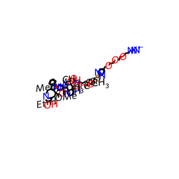 CC[C@]1(O)C[C@@H]2C[N@@](CCc3c([nH]c4ccccc34)[C@@](C(=O)OC)(c3cc4c(cc3OC)N(C)[C@H]3[C@@](O)(C(=O)NCCC[Si]5(C)C[Si](C)(CSc6ncc(COCCOCCOCCN=[N+]=[N-])cn6)O5)[C@H](O)[C@]5(CC)C=CCN6CC[C@]43[C@@H]65)C2)C1